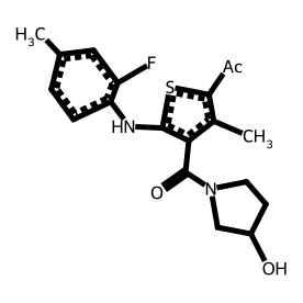 CC(=O)c1sc(Nc2ccc(C)cc2F)c(C(=O)N2CCC(O)C2)c1C